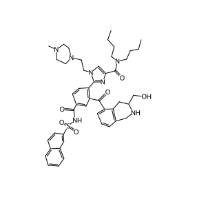 CCCCN(CCCC)C(=O)c1cn(CCN2CCN(C)CC2)c(-c2ccc(C(=O)NS(=O)(=O)c3ccc4ccccc4c3)cc2C(=O)c2cccc3c2CC(CO)NC3)n1